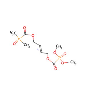 COP(=O)(OC)C(=O)OC/C=C/COC(=O)P(C)(C)=O